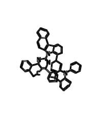 CC1(C)C2=CCC(c3cccc4c5c6ccccc6ccc5n(-c5nc(-c6ccccc6)c6c(n5)-c5ccccc5CC6)c34)C=C2N(c2ccccc2)c2ccccc21